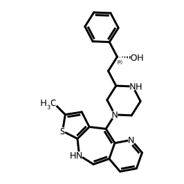 Cc1cc2c(s1)NC=c1cccnc1=C2N1CCNC(C[C@@H](O)c2ccccc2)C1